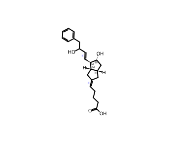 O=C(O)CCC/C=C1\C[C@H]2C[C@@H](O)[C@H](/C=C/C(O)Cc3ccccc3)[C@H]2C1